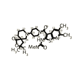 CNC(=O)Nc1sc2nc(C)c(C)cc2c1C(=O)N1CCC(N2CCCC3(C2)CC(C)(C)OC3=O)CC1